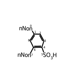 CCCCCCCCCc1ccc(S(=O)(=O)O)c(CCCCCCCCC)c1